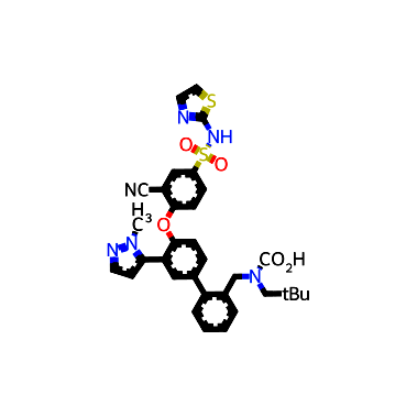 Cn1nccc1-c1cc(-c2ccccc2CN(CC(C)(C)C)C(=O)O)ccc1Oc1ccc(S(=O)(=O)Nc2nccs2)cc1C#N